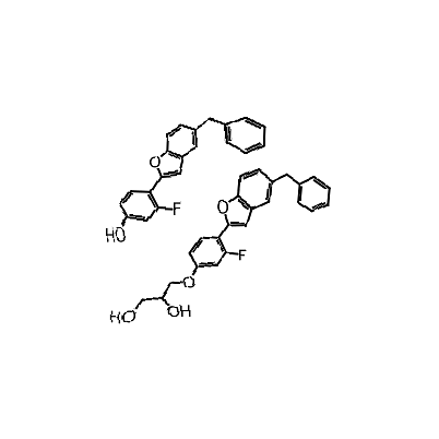 OCC(O)COc1ccc(-c2cc3cc(Cc4ccccc4)ccc3o2)c(F)c1.Oc1ccc(-c2cc3cc(Cc4ccccc4)ccc3o2)c(F)c1